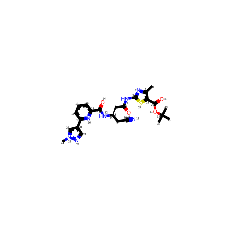 Cc1nc(NC(=O)C[C@@H](CC#N)NC(=O)c2cccc(-c3cnn(C)c3)n2)sc1C(=O)OC(C)(C)C